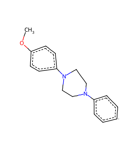 COc1ccc(N2CCN(c3cc[c]cc3)CC2)cc1